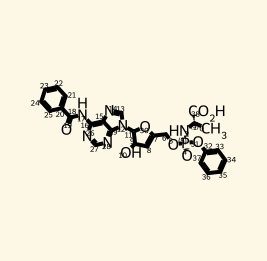 C[C@H](N[P@](=O)(OCC1=CC(O)C(n2cnc3c(NC(=O)c4ccccc4)ncnc32)O1)Oc1ccccc1)C(=O)O